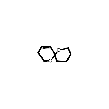 C1=CC2(CCCCO2)OCC1